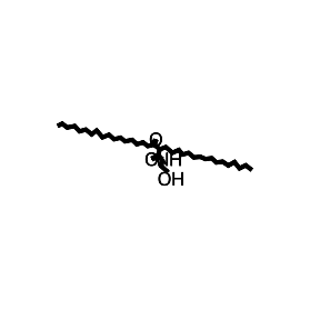 CCCCCCCCCCCCCCCCCC(=O)C(CCCCCCCCCCCCCCCC)C(=O)NCCO